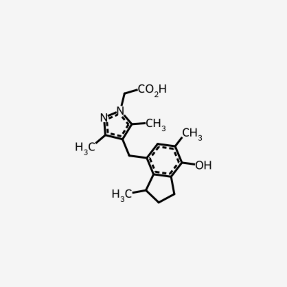 Cc1cc(Cc2c(C)nn(CC(=O)O)c2C)c2c(c1O)CCC2C